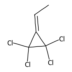 CC=C1C(Cl)(Cl)C1(Cl)Cl